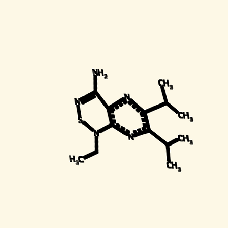 CCN1SN=C(N)c2nc(C(C)C)c(C(C)C)nc21